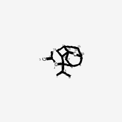 CC(=O)OC1(C(C)C)C2CC3CC4CC1C4(C3)C2